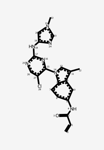 C=CC(=O)Nc1ccc2c(c1)c(C)cn2-c1nc(Nc2cn(C)cn2)ncc1Cl